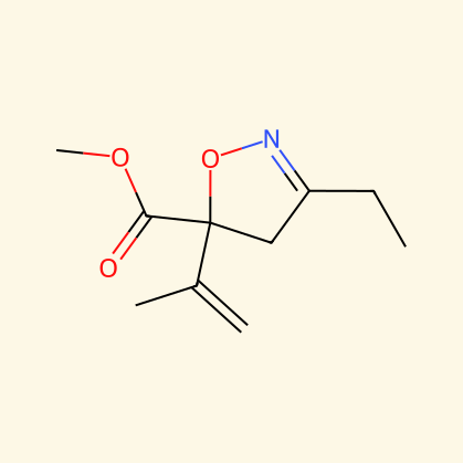 C=C(C)C1(C(=O)OC)CC(CC)=NO1